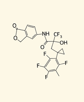 Cc1c(F)c(F)c(F)c(C2(CC(O)(C(=O)Nc3ccc4c(c3)COC4=O)C(F)(F)F)CC2)c1F